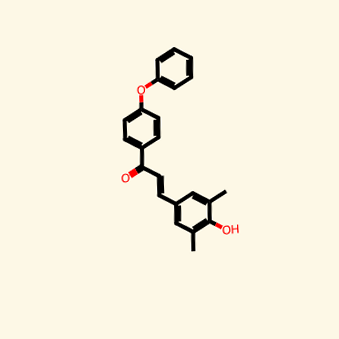 Cc1cc(C=CC(=O)c2ccc(Oc3ccccc3)cc2)cc(C)c1O